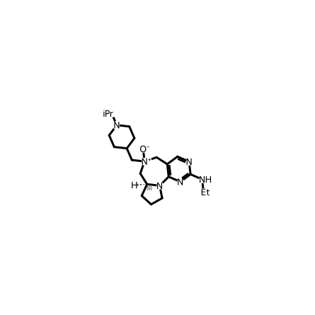 CCNc1ncc2c(n1)N1CCC[C@H]1C[N+]([O-])(CC1CCN(C(C)C)CC1)C2